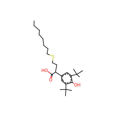 CCCCCCCCSCCC(C(=O)O)c1cc(C(C)(C)C)c(O)c(C(C)(C)C)c1